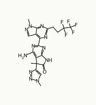 Cn1cc(C2(C)C(=O)Nc3nc(-c4nc(CCC(F)(F)C(F)(F)F)nc5c4cnn5C)nc(N)c32)nn1